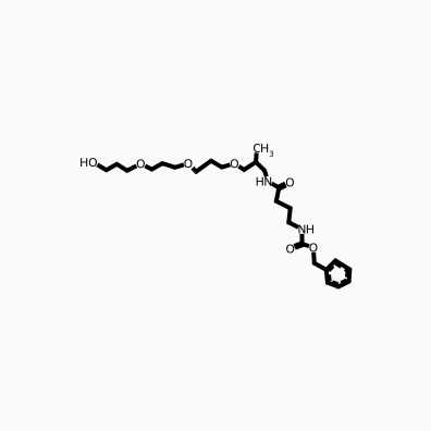 CC(CNC(=O)CCCNC(=O)OCc1ccccc1)COCCCOCCCOCCCO